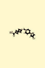 CCc1cnn(C2CCN(C[C@H]3CC4(C3)C[C@H](C(=O)C(C)CC)C4)CC2)c1